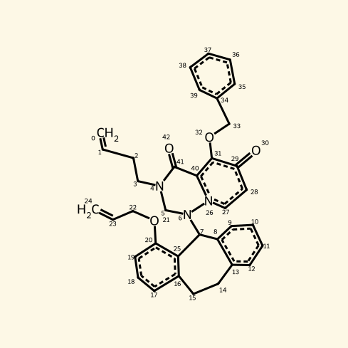 C=CCCN1CN(C2c3ccccc3CCc3cccc(OCC=C)c32)n2ccc(=O)c(OCc3ccccc3)c2C1=O